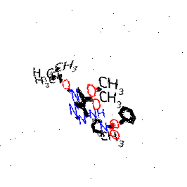 CC(C)OC(=O)c1cn(COCC[Si](C)(C)C)c2ncnc(N[C@@H]3CC[C@H](C)N(C(=O)OCc4ccccc4)C3)c12